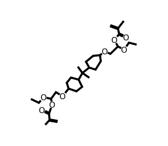 C=C(C)C(=O)OC(COC1CCC(C(C)(C)C2CCC(OCC(OCC)OC(=O)C(=C)C)CC2)CC1)OCC